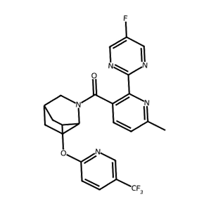 Cc1ccc(C(=O)N2CC3CCC2C(Oc2ccc(C(F)(F)F)cn2)C3)c(-c2ncc(F)cn2)n1